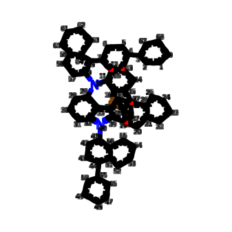 c1ccc(-c2ccc(-c3c(N(c4cccc5c4sc4ccc6ccccc6c45)c4cccc5c4c4ccccc4n5-c4ccc(-c5ccccc5)c5ccccc45)ccc4ccccc34)cc2)cc1